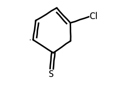 S=C1[C]=CC=C(Cl)C1